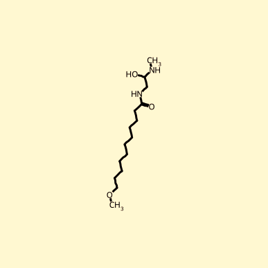 CNC(O)CNC(=O)CCCCCCCCCCOC